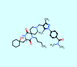 CCCCN1C(=O)[C@@H](CC2(O)CCCCC2)NC(=O)C12CCN(Cc1c(C)nn(-c3ccc(C(=O)N(C)C)cc3)c1C)CC2